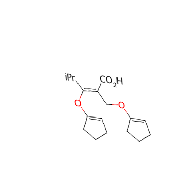 CC(C)C(OC1=CCCC1)=C(COC1=CCCC1)C(=O)O